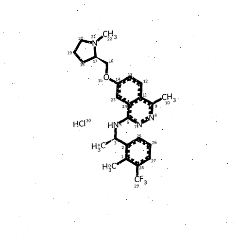 Cc1c([C@@H](C)Nc2nnc(C)c3ccc(OC[C@H]4CCCN4C)cc23)cccc1C(F)(F)F.Cl